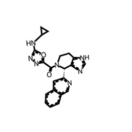 O=C(c1nnc(NC2CC2)o1)N1CCc2[nH]cnc2[C@@H]1c1cc2ccccc2cn1